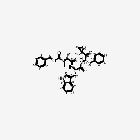 C[C@H](NC(=O)OCc1ccccc1)C(=O)N[C@@H](Cc1c[nH]c2ccccc12)C(=O)N[C@@H](Cc1ccccc1)C(=O)[C@@]1(C)CO1